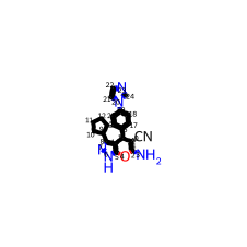 N#CC1=C(N)Oc2[nH]nc(C3CCCC3)c2C1c1ccc(-n2ccnc2)cc1